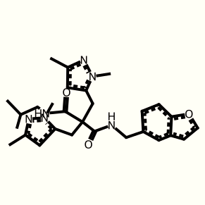 Cc1cc(CC(Cc2cc(C)nn2C)(C(=O)NCc2ccc3occc3c2)C(=O)NCC(C)C)n(C)n1